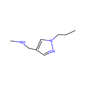 CCCn1cc(CNC)cn1